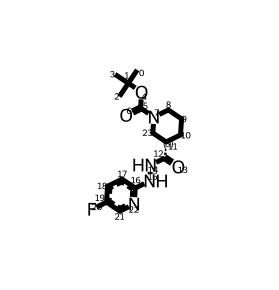 CC(C)(C)OC(=O)N1CCC[C@H](C(=O)NNc2ccc(F)cn2)C1